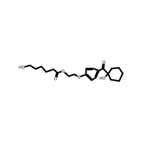 O=C(CCCCCO)OCCOc1ccc(C(=O)C2(O)CCCCC2)cc1